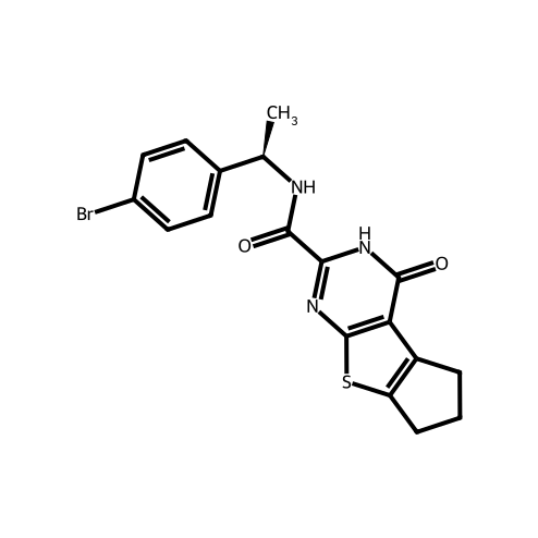 C[C@@H](NC(=O)c1nc2sc3c(c2c(=O)[nH]1)CCC3)c1ccc(Br)cc1